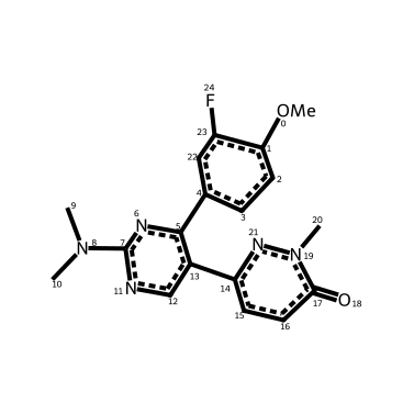 COc1ccc(-c2nc(N(C)C)ncc2-c2ccc(=O)n(C)n2)cc1F